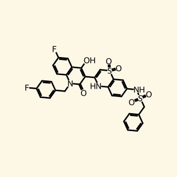 O=c1c(C2=CS(=O)(=O)c3cc(NS(=O)(=O)Cc4ccccc4)ccc3N2)c(O)c2cc(F)ccc2n1Cc1ccc(F)cc1